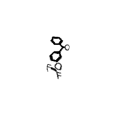 O=C(c1ccccc1)c1cccc(OC(F)F)c1